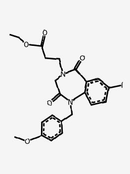 CCOC(=O)CCN1CC(=O)N(Cc2ccc(OC)cc2)c2ccc(I)cc2C1=O